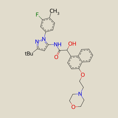 Cc1ccc(-n2nc(C(C)(C)C)cc2NC(=O)C(O)c2ccc(OCCN3CCOCC3)c3ccccc23)cc1F